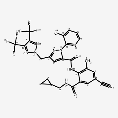 Cc1cc(C#N)cc(C(=O)NCC2CC2)c1NC(=O)c1cc(Cn2nc(C(F)(F)F)c(C(F)(F)F)n2)nn1-c1ncccc1Cl